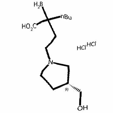 BC(CCCC)(CCN1CC[C@@H](CO)C1)C(=O)O.Cl.Cl